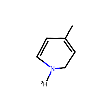 [2H]N1C=CC(C)=CC1